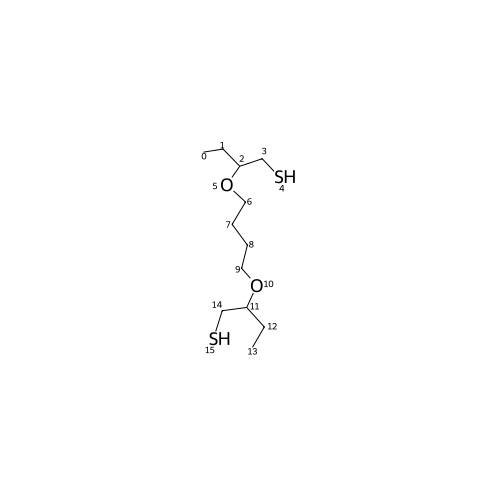 CCC(CS)OCCCCOC(CC)CS